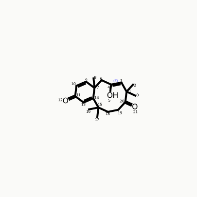 CC1(C)/C=C(\O)CC2(C)C=CC(=O)C=C2C(C)(C)CCC1=O